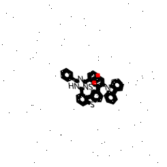 c1ccc(C2=NC(c3cccc4sc5ccc6c(sc7cccc(-n8c9ccccc9c9ccccc98)c76)c5c34)NC(c3ccccc3)=N2)cc1